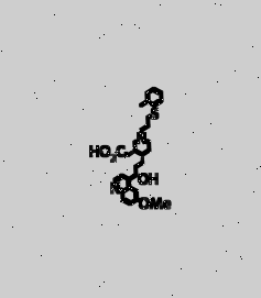 COc1ccc2nccc([C@@H](O)CC[C@@H]3CCN(CCCSc4ccccc4C)C[C@@H]3CC(=O)O)c2c1